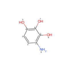 Nc1ccc(O)c(O)c1O